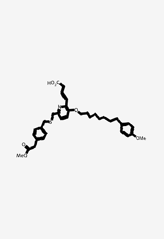 COC(=O)Cc1ccc(CSCc2ccc(OCCCCCCCCc3ccc(OC)cc3)c(C=CCC(=O)O)n2)cc1